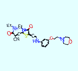 CCNC(=O)C(=C=c1sc(=C=CNc2cccc(OCCN3CCOCC3)c2)c(=O)n1CC)C#N